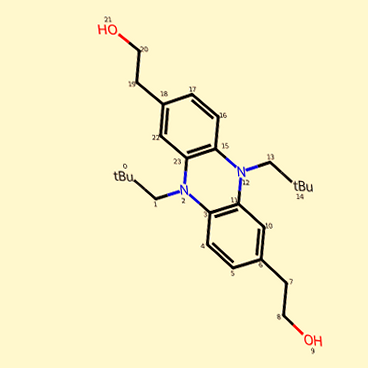 CC(C)(C)CN1c2ccc(CCO)cc2N(CC(C)(C)C)c2ccc(CCO)cc21